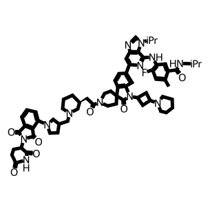 Cc1cc(F)c(Nc2nc(-c3ccc4c(c3)N(C3CC(N5CCCCC5)C3)C(=O)C43CCN(C(=O)C[C@@H]4CCCN(CC5CCN(c6cccc7c6C(=O)N(C6CCC(=O)NC6=O)C7=O)C5)C4)CC3)cc3ncn(C(C)C)c23)cc1C(=O)NC(C)C